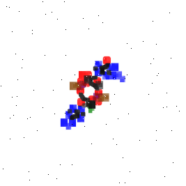 Nc1nc2c(ncn2[C@@H]2O[C@@H]3CO[P@@](=O)(S)O[C@@H]4C(CO[P@@](=O)(S)O[C@H]3[C@H]2O)O[C@@H](n2cnc3c(N)ncnc32)[C@@H]4F)c(=O)[nH]1